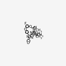 Cc1ncc(COc2cc(F)cc(Oc3ccc(-c4nn(C5CCOCC5)c5ncnc(N)c45)cc3)c2)n1COCC[Si](C)(C)C